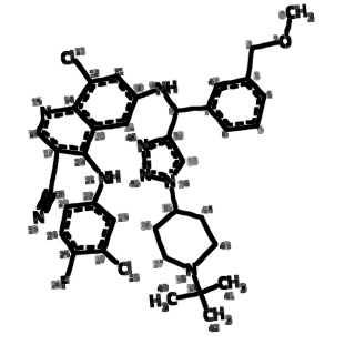 COCc1cccc(C(Nc2cc(Cl)c3ncc(C#N)c(Nc4ccc(F)c(Cl)c4)c3c2)c2cn(C3CCN(C(C)(C)C)CC3)nn2)c1